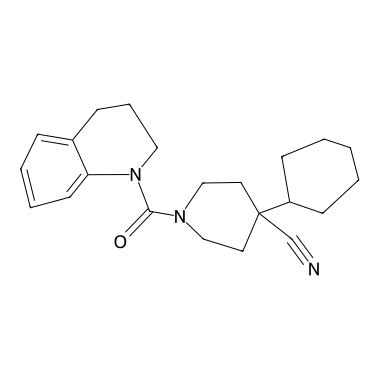 N#CC1(C2CCCCC2)CCN(C(=O)N2CCCc3ccccc32)CC1